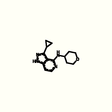 c1cc2[nH]nc(C3CC3)c2c(NC2CCOCC2)n1